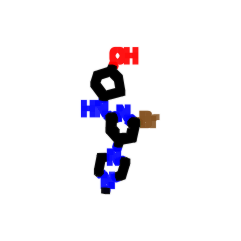 CN1CCN(c2cc(Br)nc(NC3CCC(O)CC3)c2)CC1